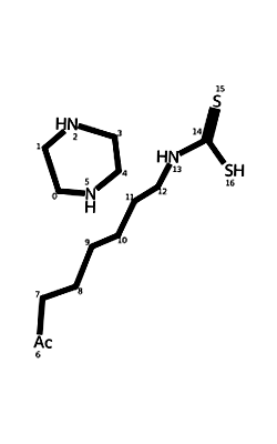 C1CNCCN1.CC(=O)CCCCCCNC(=S)S